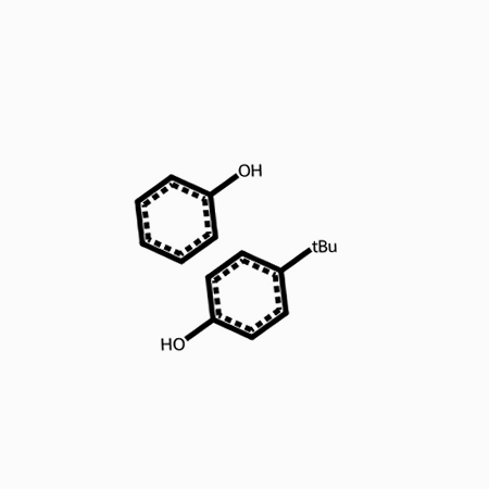 CC(C)(C)c1ccc(O)cc1.Oc1ccccc1